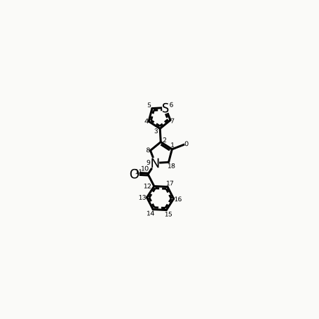 CC1=C(c2ccsc2)CN(C(=O)c2ccccc2)C1